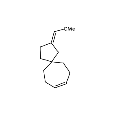 COC=C1CCC2(CCC=CCC2)C1